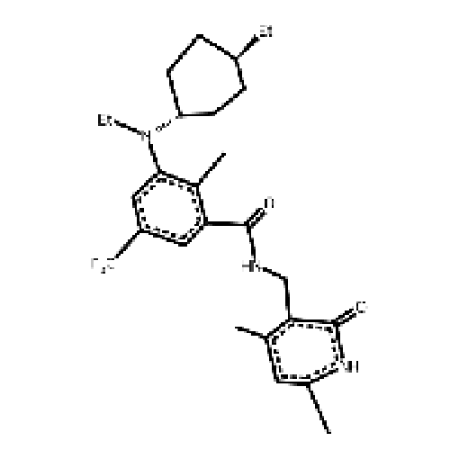 CCN(c1cc(C(F)(F)F)cc(C(=O)NCc2c(C)cc(C)[nH]c2=O)c1C)[C@H]1CC[C@H](CC)CC1